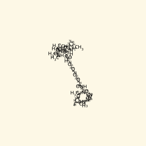 CC[C@@H](NC(=O)[C@@H]1C[C@H](NC(=O)CCOCCOCCOCCOCCC(=O)NCCN2C[C@H](C)Oc3ccc(F)cc3C(C)Nc3ccn4ncc(c4n3)C2=O)CN1C(=O)[C@@H](NC(=O)[C@H](C)NC)C(C)(C)C)c1ccccc1